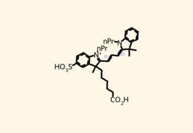 CCCN1/C(=C\C=C\C2=[N+](CCC)c3ccc(S(=O)(=O)O)cc3C2(C)CCCCCC(=O)O)C(C)(C)c2ccccc21